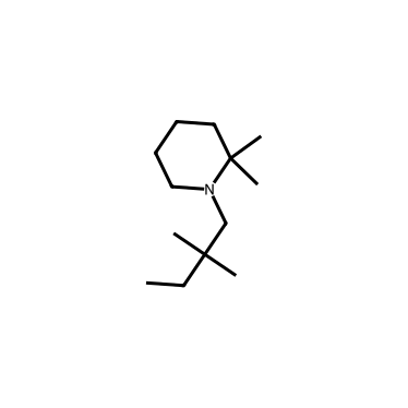 CCC(C)(C)CN1CCCCC1(C)C